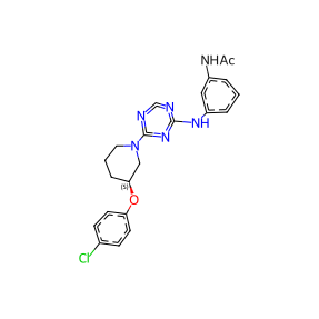 CC(=O)Nc1cccc(Nc2ncnc(N3CCC[C@H](Oc4ccc(Cl)cc4)C3)n2)c1